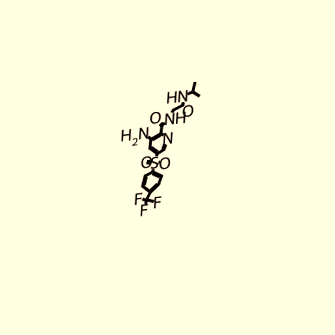 CC(C)NC(=O)CNC(=O)c1ncc(S(=O)(=O)c2ccc(C(F)(F)F)cc2)cc1N